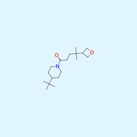 CC(C)(C)C1CCN(C(=O)CCC(C)(C)C2COC2)CC1